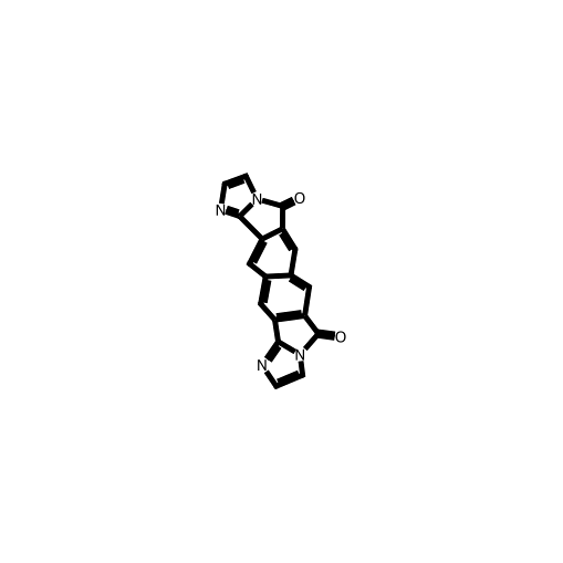 O=c1c2cc3cc4c(=O)n5ccnc5c4cc3cc2c2nccn12